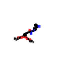 COCCOCOc1ccc(/C=C/C=C/C(=O)NCCN2CCC(c3c[nH]c4ccccc34)CC2)cc1OCOCCOC